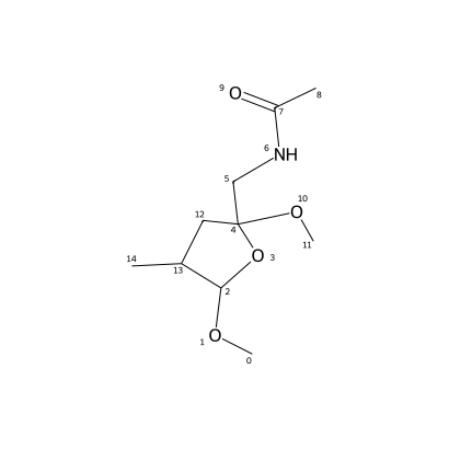 COC1OC(CNC(C)=O)(OC)CC1C